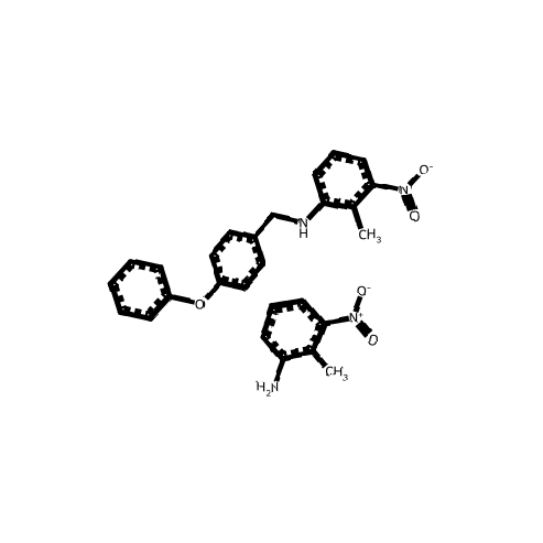 Cc1c(N)cccc1[N+](=O)[O-].Cc1c(NCc2ccc(Oc3ccccc3)cc2)cccc1[N+](=O)[O-]